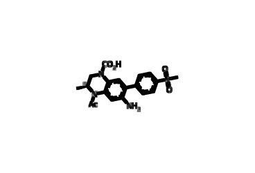 CC(=O)N1c2cc(N)c(-c3ccc(S(C)(=O)=O)cc3)cc2N(C(=O)O)C[C@@H]1C